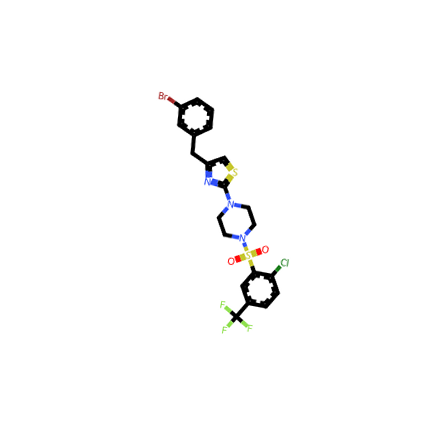 O=S(=O)(c1cc(C(F)(F)F)ccc1Cl)N1CCN(c2nc(Cc3cccc(Br)c3)cs2)CC1